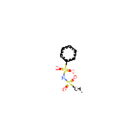 CS(=O)(=O)[N]S(=O)(=O)c1ccccc1